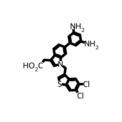 Nc1cc(N)cc(-c2ccc3c(CC(=O)O)cn(Cc4csc5cc(Cl)c(Cl)cc45)c3c2)c1